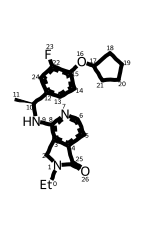 CCN1Cc2c(ccnc2N[C@@H](C)c2ccc(OC3CCCC3)c(F)c2)C1=O